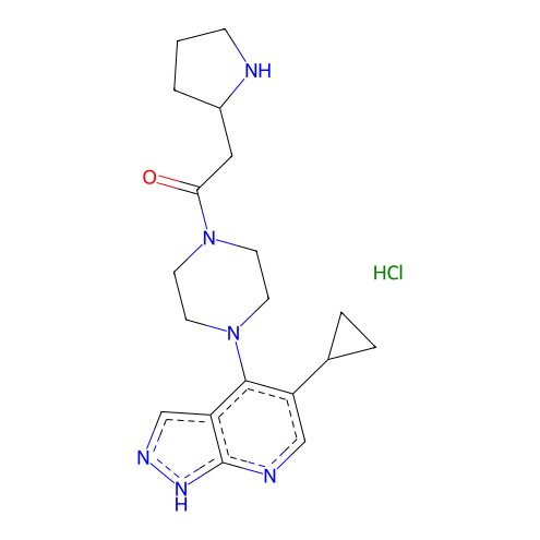 Cl.O=C(CC1CCCN1)N1CCN(c2c(C3CC3)cnc3[nH]ncc23)CC1